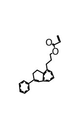 C=CC(=O)OCCCc1cccc2c1CCC(c1ccccc1)=C2